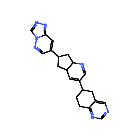 C1=NC2CC(c3cnn4cnnc4c3)CC2C=C1C1CCc2ncncc2C1